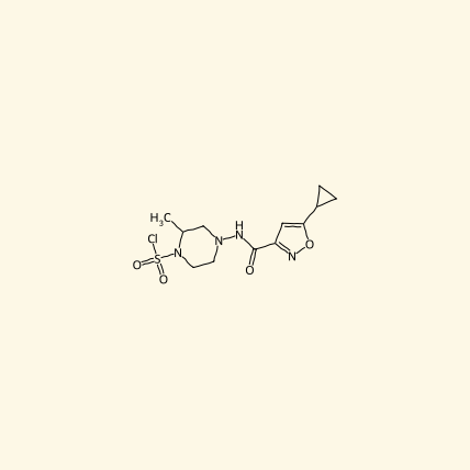 CC1CN(NC(=O)c2cc(C3CC3)on2)CCN1S(=O)(=O)Cl